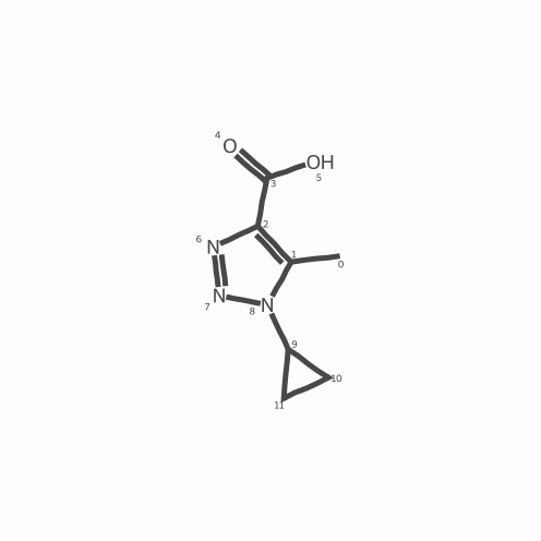 Cc1c(C(=O)O)nnn1C1CC1